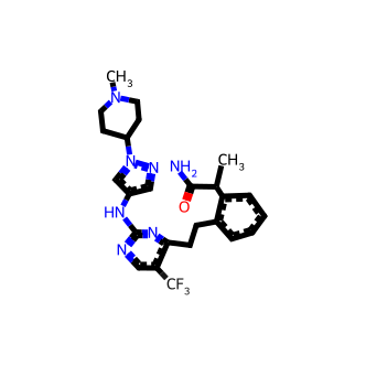 CC(C(N)=O)c1ccccc1CCc1nc(Nc2cnn(C3CCN(C)CC3)c2)ncc1C(F)(F)F